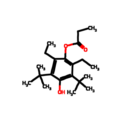 CCC(=O)Oc1c(CC)c(C(C)(C)C)c(O)c(C(C)(C)C)c1CC